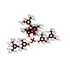 CC(C)(C)c1cc(C(=O)Oc2c(C(C)(C)C)cc(C(=O)OCC(COC(=O)c3cc(C(C)(C)C)c(OC(=O)c4cc(C(C)(C)C)c(O)c(C(C)(C)C)c4)c(C(C)(C)C)c3)(COC(=O)c3cc(C(C)(C)C)c(OC(=O)c4cc(C(C)(C)C)c(O)c(C(C)(C)C)c4)c(C(C)(C)C)c3)COC(=O)c3cc(C(C)(C)C)c(OC(=O)c4cc(C(C)(C)C)c(O)c(C(C)(C)C)c4)c(C(C)(C)C)c3)cc2C(C)(C)C)cc(C(C)(C)C)c1O